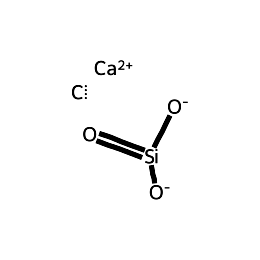 O=[Si]([O-])[O-].[C].[Ca+2]